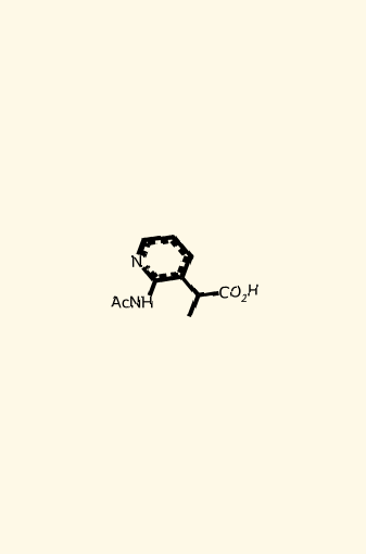 CC(=O)Nc1ncccc1C(C)C(=O)O